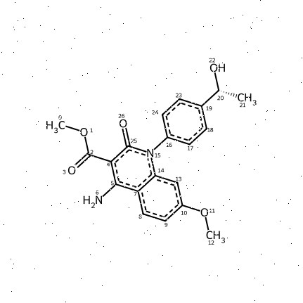 COC(=O)c1c(N)c2ccc(OC)cc2n(-c2ccc([C@@H](C)O)cc2)c1=O